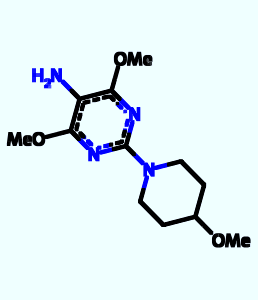 COc1nc(N2CCC(OC)CC2)nc(OC)c1N